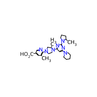 Cc1cc(C(=O)O)cnc1N1CCN(c2cc(N3CCCCC3)nc(N3CCCC3C)n2)[C@H](C)C1